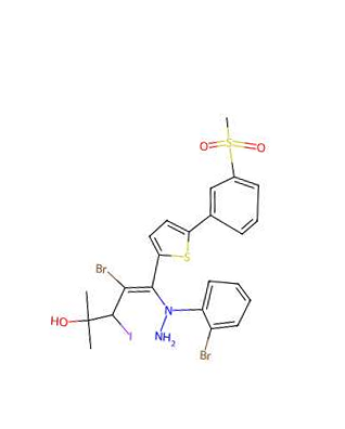 CC(C)(O)C(I)/C(Br)=C(/c1ccc(-c2cccc(S(C)(=O)=O)c2)s1)N(N)c1ccccc1Br